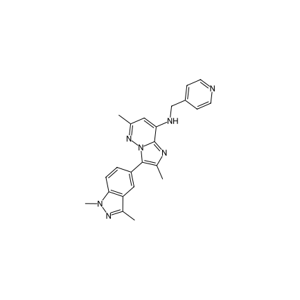 Cc1cc(NCc2ccncc2)c2nc(C)c(-c3ccc4c(c3)c(C)nn4C)n2n1